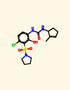 CC1=CCCC1NC(=O)Nc1ccc(Cl)c(S(=O)(=O)N2CCCC2)c1O